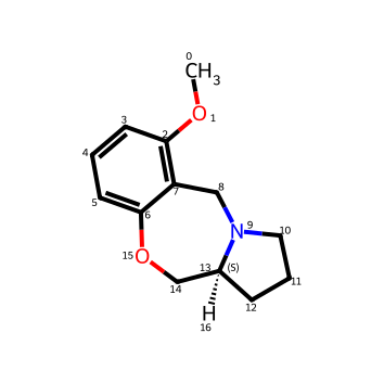 COc1cccc2c1CN1CCC[C@H]1CO2